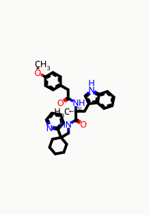 COc1ccc(CC(=O)N[C@@](C)(Cc2c[nH]c3ccccc23)C(=O)NCC2(c3ccccn3)CCCCC2)cc1